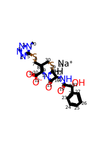 Cn1nnnc1SCC1=C(C(=O)[O-])N2C(=O)C(NC(=O)C(O)c3ccccc3)[C@@H]2SC1.[Na+]